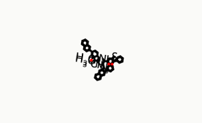 CC1(C)C2=C(NC(c3ccc4c(c3)sc3ccccc34)C(n3c4ccccc4c4cc5ccccc5cc43)=N2)C2C=CC(c3ccc4ccccc4c3)=CC21C